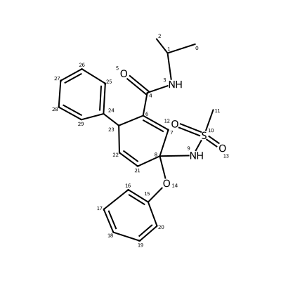 CC(C)NC(=O)C1=CC(NS(C)(=O)=O)(Oc2ccccc2)C=CC1c1ccccc1